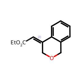 CCOC(=O)/C=C1\COCc2ccccc21